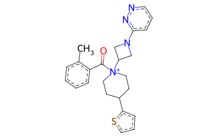 Cc1ccccc1C(=O)[N+]1(C2CN(c3cccnn3)C2)CCC(c2cccs2)CC1